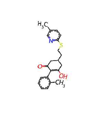 Cc1ccc(SCCC2CC(=O)C(c3ccccc3C)=C(O)C2)nc1